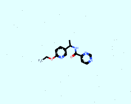 CC(NC(=O)c1ccncn1)c1ccc(OCC(F)(F)F)nc1